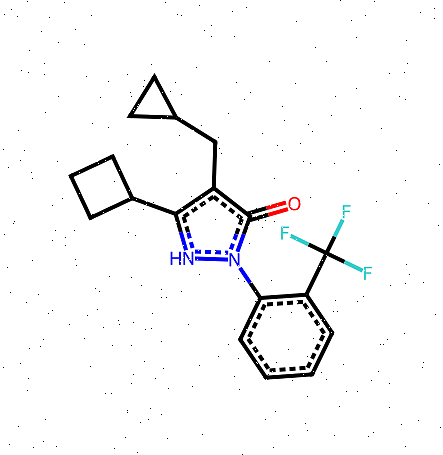 O=c1c(CC2CC2)c(C2CCC2)[nH]n1-c1ccccc1C(F)(F)F